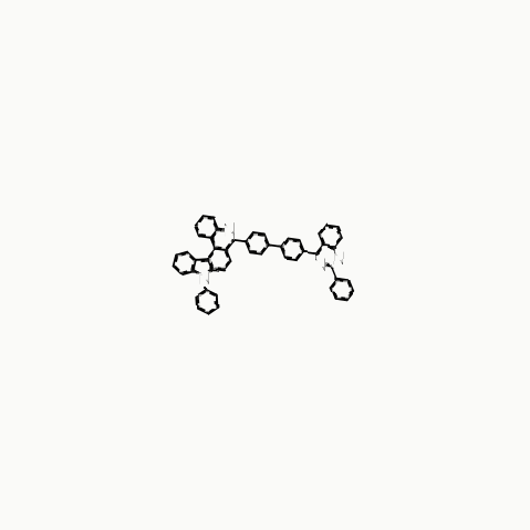 c1ccc(-c2nc(-c3ccc(-c4ccc(-c5nc6ccccc6c6c5ccc5c6c6ccccc6n5-c5ccccc5)cc4)cc3)c3ccccc3n2)cc1